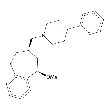 CO[C@@H]1C[C@H](CN2CCC(c3ccccc3)CC2)CCc2ccccc21